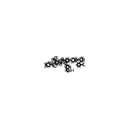 CC(C)c1ccccc1[C@@H]1COCCN1C1CC2(CCN(c3ccc(C(=O)NS(=O)(=O)c4cc5c(c([N+](=O)[O-])n4)N[C@@H](C4CCC(C)(C)CC4)CO5)c(Oc4cnc5[nH]ccc5c4)c3)CC2)C1